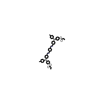 C=CC(=O)Oc1ccc(N(c2ccc(C)cc2)c2ccc(/C=C/c3ccc(/C=C/c4ccc(N(c5ccc(C)cc5)c5ccc(OC(=O)C=C)cc5)cc4)cc3)cc2)cc1